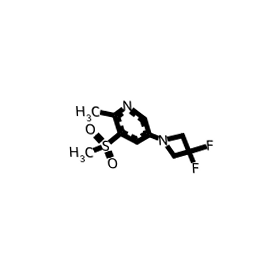 Cc1ncc(N2CC(F)(F)C2)cc1S(C)(=O)=O